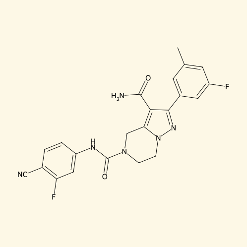 Cc1cc(F)cc(-c2nn3c(c2C(N)=O)CN(C(=O)Nc2ccc(C#N)c(F)c2)CC3)c1